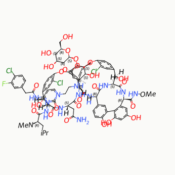 CN[C@H](CC(C)C)C(=O)N[C@H]1C(=O)N[C@@H](CC(N)=O)C(=O)N[C@H]2C(=O)N[C@H]3C(=O)N[C@H](C(=O)N[C@@H](C(=O)NOC)c4cc(O)cc(O)c4-c4cc3ccc4O)[C@H](O)c3ccc(c(Cl)c3)Oc3cc2cc(c3O[C@@H]2O[C@H](CO)[C@@H](O)[C@H](O)[C@H]2O[C@H]2C[C@](C)(NCCn3ccc(NC(=O)Cc4ccc(Cl)c(F)c4)nc3=O)[C@H](O)[C@H](C)O2)Oc2ccc(cc2Cl)[C@H]1O